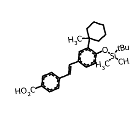 CC1(c2cc(/C=C/c3ccc(C(=O)O)cc3)ccc2O[Si](C)(C)C(C)(C)C)CCCCC1